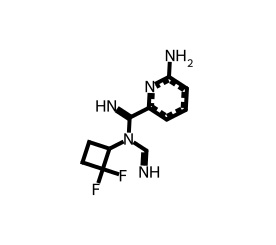 N=CN(C(=N)c1cccc(N)n1)C1CCC1(F)F